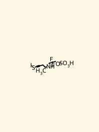 C[C@H](CC#CSI)NCC(F)(F)COS(=O)(=O)O